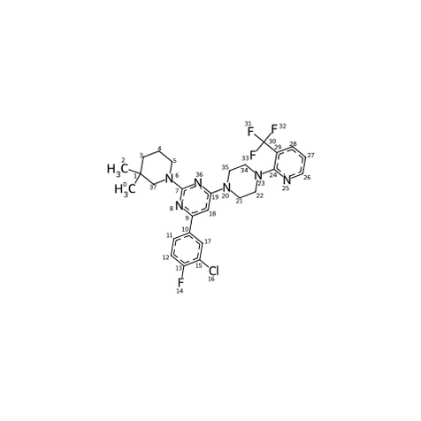 CC1(C)CCCN(c2nc(-c3ccc(F)c(Cl)c3)cc(N3CCN(c4ncccc4C(F)(F)F)CC3)n2)C1